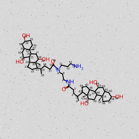 CC(CCC(=O)NCCCN(CCCN)C(=O)CCC(C)C1CCC2C3C(C[C@@H](O)[C@]12C)[C@@]1(C)CC[C@H](O)CC1C[C@@H]3O)C1CCC2C3C(C[C@@H](O)[C@]12C)[C@@]1(C)CC[C@H](O)CC1C[C@@H]3O